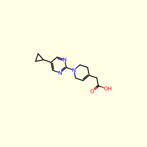 O=C(O)CC1=CCN(c2ncc(C3CC3)cn2)CC1